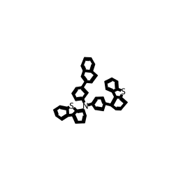 c1cc(-c2ccc3ccccc3c2)cc(N(c2ccc(-c3cccc4sc5ccccc5c34)cc2)c2cccc3c2sc2ccccc23)c1